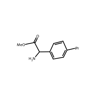 COC(=O)C(N)c1ccc(C(C)C)cc1